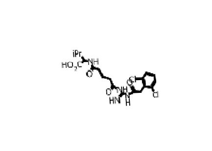 CC(C)C(NC(=O)CCCC(=O)NC(=N)NC(=O)Cc1c(Cl)cccc1Cl)C(=O)O